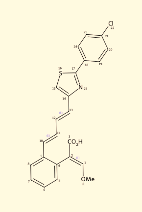 CO/C=C(/C(=O)O)c1ccccc1/C=C/C=C/c1csc(-c2ccc(Cl)cc2)n1